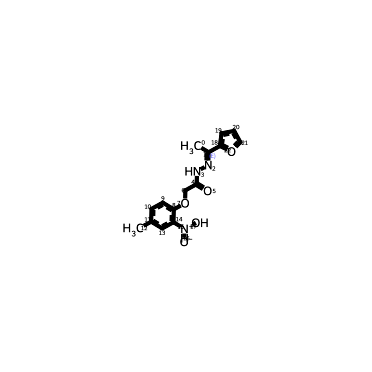 C/C(=N\NC(=O)COc1ccc(C)cc1[NH+]([O-])O)c1ccco1